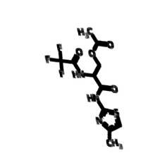 CC(=O)OCC(NC(=O)C(F)(F)F)C(=O)Nc1nc(C)cs1